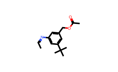 C/C=N\c1cc(COC(C)=O)cc(C(C)(C)C)c1